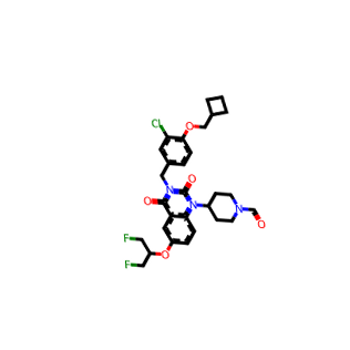 O=CN1CCC(n2c(=O)n(Cc3ccc(OCC4CCC4)c(Cl)c3)c(=O)c3cc(OC(CF)CF)ccc32)CC1